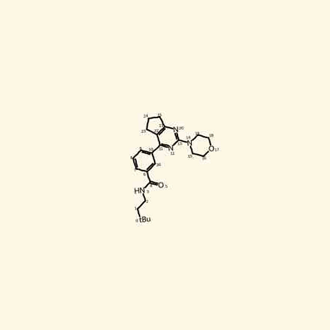 CC(C)(C)CCNC(=O)c1cccc(-c2nc(N3CCOCC3)nc3c2CCC3)c1